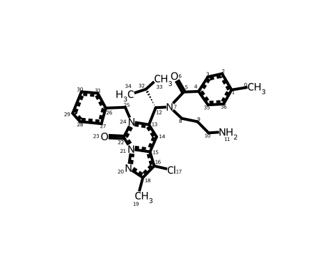 Cc1ccc(C(=O)N(CCCN)[C@H](c2cc3c(Cl)c(C)nn3c(=O)n2Cc2ccccc2)C(C)C)cc1